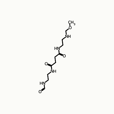 COCNCCNC(=O)CCC(=O)NCCNC=O